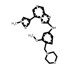 COc1cc(Nc2nc3cncc(-c4cnn(C)c4)n3n2)ccc1CN1CCOCC1